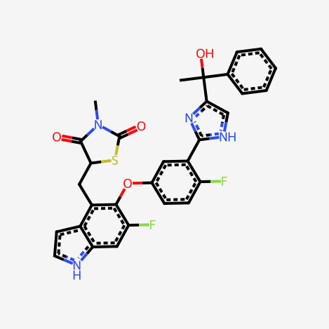 CN1C(=O)SC(Cc2c(Oc3ccc(F)c(-c4nc(C(C)(O)c5ccccc5)c[nH]4)c3)c(F)cc3[nH]ccc23)C1=O